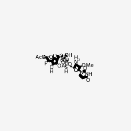 CO[C@@H]1[C@H](N)[C@@H](COP(=O)(S)OP(=O)(O)OC2OC3(OC(C)=O)C2C(OC(C)=O)C(O)C3[C@@H](F)COC(C)=O)O[C@H]1n1ccc(=O)[nH]c1=O